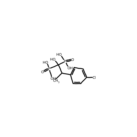 CC(c1ccc(Cl)cc1)C(O)(P(=O)(O)O)P(=O)(O)O